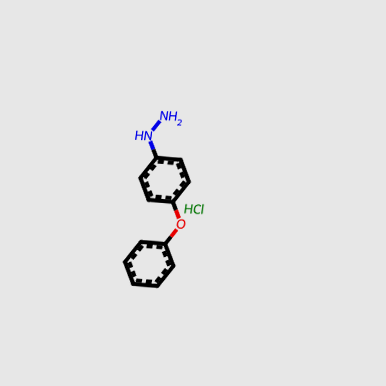 Cl.NNc1ccc(Oc2ccccc2)cc1